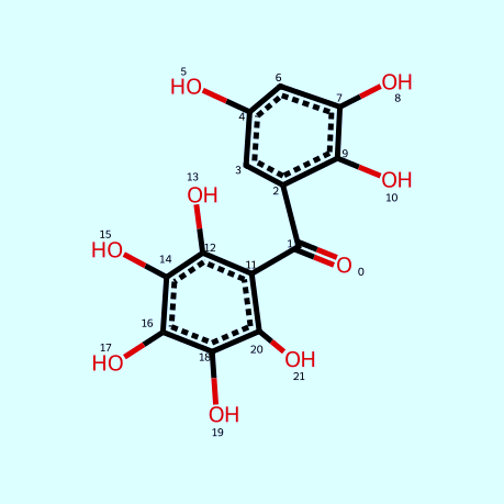 O=C(c1cc(O)cc(O)c1O)c1c(O)c(O)c(O)c(O)c1O